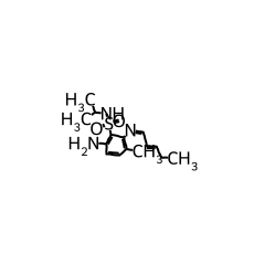 CC/C=C/C=N\c1c(C)ccc(N)c1S(=O)(=O)NC(C)C